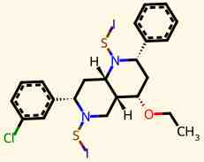 CCO[C@H]1C[C@@H](c2ccccc2)N(SI)[C@H]2C[C@@H](c3cccc(Cl)c3)N(SI)C[C@@H]12